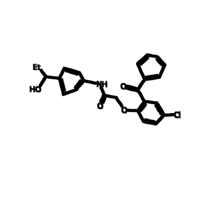 CCC(O)c1ccc(NC(=O)COc2ccc(Cl)cc2C(=O)c2ccccc2)cc1